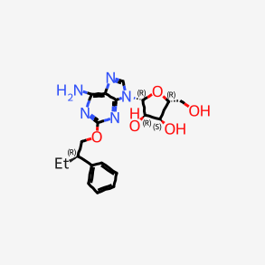 CC[C@@H](COc1nc(N)c2ncn([C@@H]3O[C@H](CO)[C@@H](O)[C@H]3O)c2n1)c1ccccc1